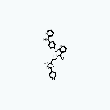 O=C(NCCc1nc(C2=CC=NCC2)n[nH]1)c1cccnc1Oc1ccc(Nc2ccccn2)cc1